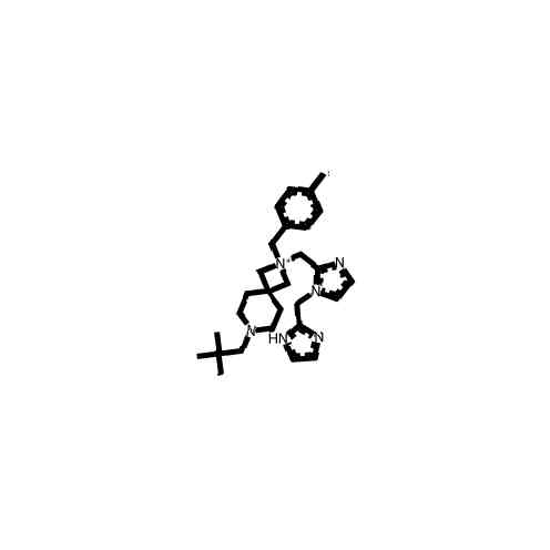 [CH]c1ccc(C[N+]2(Cc3nccn3Cc3ncc[nH]3)CC3(CCN(CC(C)(C)C)CC3)C2)cc1